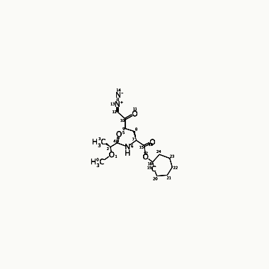 CO[C@@H](C)C(=O)N[C@@H](CCC(=O)C=[N+]=[N-])C(=O)OC1CCCCCC1